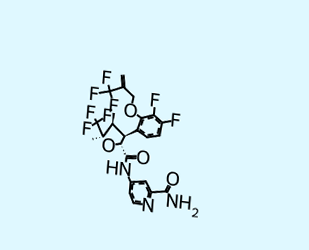 C=C(COc1c([C@H]2[C@H](C(=O)Nc3ccnc(C(N)=O)c3)O[C@@](C)(C(F)(F)F)[C@H]2C)ccc(F)c1F)C(F)(F)F